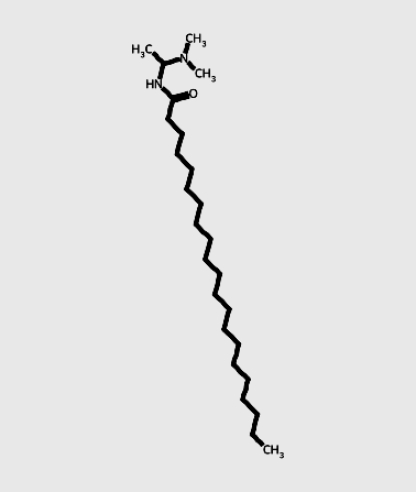 CCCCCCCCCCCCCCCCCCCCC(=O)NC(C)N(C)C